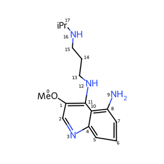 COc1cnc2cccc(N)c2c1NCCCNC(C)C